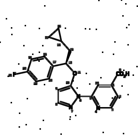 O=C(O)c1ccnc(-n2nccc2O[C@H](CC2CC2)c2ccc(F)cc2)c1